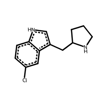 Clc1ccc2[nH]cc(CC3CCCN3)c2c1